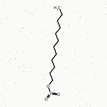 CCCCCCCCCCCC[O][V](=[O])=[O]